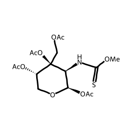 COC(=S)N[C@H]1[C@@H](OC(C)=O)OC[C@H](OC(C)=O)[C@@]1(COC(C)=O)OC(C)=O